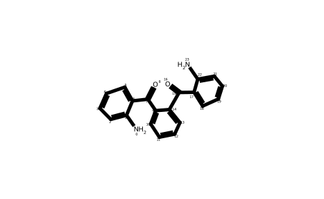 Nc1ccccc1C(=O)c1ccccc1C(=O)c1ccccc1N